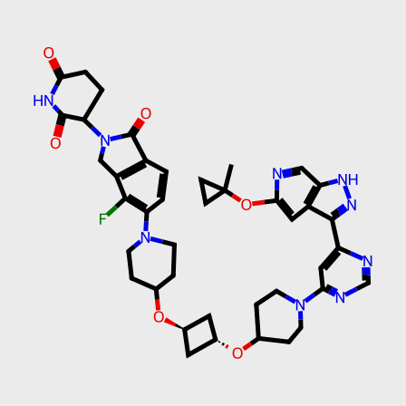 CC1(Oc2cc3c(-c4cc(N5CCC(O[C@H]6C[C@H](OC7CCN(c8ccc9c(c8F)CN(C8CCC(=O)NC8=O)C9=O)CC7)C6)CC5)ncn4)n[nH]c3cn2)CC1